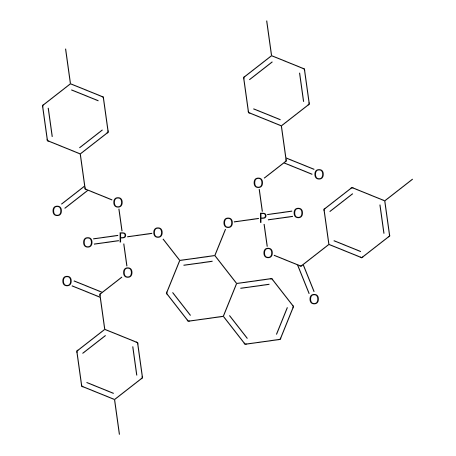 Cc1ccc(C(=O)OP(=O)(OC(=O)c2ccc(C)cc2)Oc2ccc3ccccc3c2OP(=O)(OC(=O)c2ccc(C)cc2)OC(=O)c2ccc(C)cc2)cc1